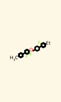 CCc1ccc(C2CCC(COc3ccc(-c4ccc(C)cc4)c(F)c3F)CC2)c(F)c1